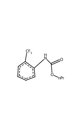 CCCOC(=O)Nc1ccccc1C(F)(F)F